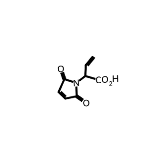 C=CC(C(=O)O)N1C(=O)C=CC1=O